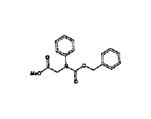 COC(=O)CN(C(=O)OCc1ccccc1)c1ccccc1